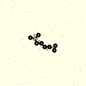 c1ccc(C2=NC(c3cccc4c3oc3ccc(-c5ccc6oc7cc(-n8c9ccccc9c9ccccc98)ccc7c6c5)cc34)=NC(c3ccccc3)N2)cc1